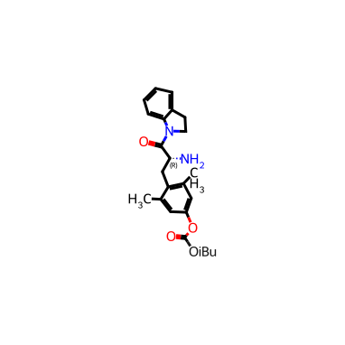 Cc1cc(OC(=O)OCC(C)C)cc(C)c1C[C@@H](N)C(=O)N1CCc2ccccc21